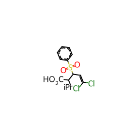 CC(C)C(C(=O)O)C(C=C(Cl)Cl)S(=O)(=O)c1ccccc1